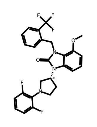 COc1cccc2c1n(Cc1ccccc1C(F)(F)F)c(=O)n2[C@@H]1CCN(c2c(F)cccc2F)C1